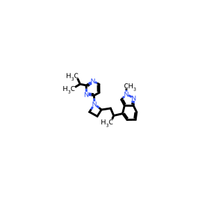 CC(C)c1nccc(N2CCC2CC(C)c2cccc3nn(C)cc23)n1